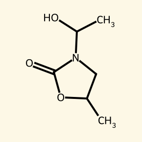 CC1CN(C(C)O)C(=O)O1